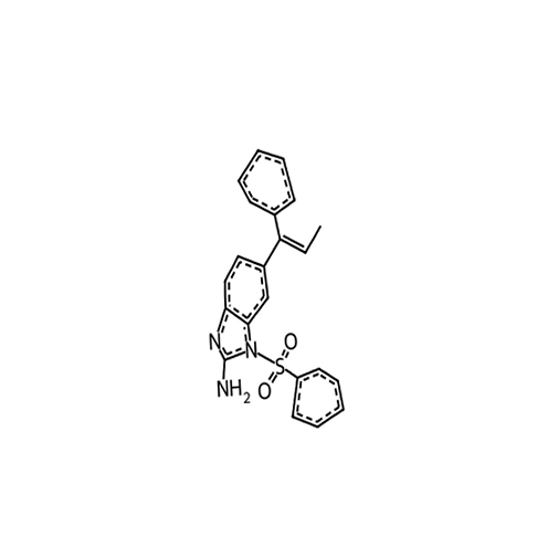 CC=C(c1ccccc1)c1ccc2nc(N)n(S(=O)(=O)c3ccccc3)c2c1